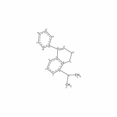 CC(C)c1cccc2c1CCC=C2c1ccccc1